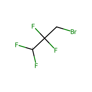 F[C](F)C(F)(F)CBr